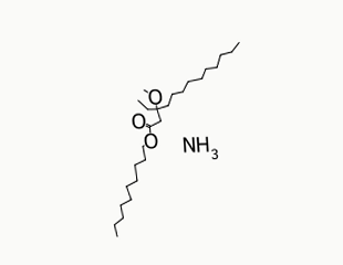 CCCCCCCCCCOC(=O)CC(CC)(CCCCCCCCCC)OC.N